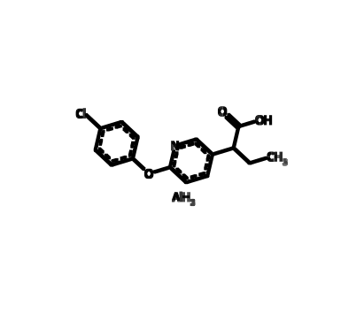 CCC(C(=O)O)c1ccc(Oc2ccc(Cl)cc2)nc1.[AlH3]